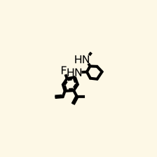 C=Cc1cc(F)c(NC2CCCCC2NC)cc1C(=C)C